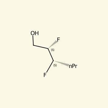 CCC[C@H](F)[C@@H](F)CO